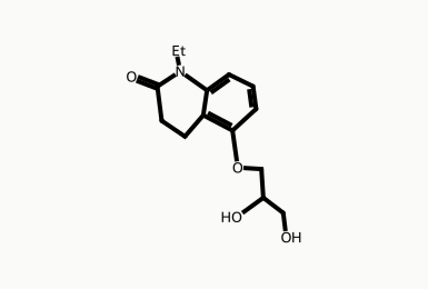 CCN1C(=O)CCc2c(OCC(O)CO)cccc21